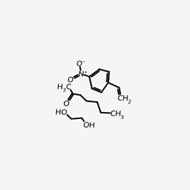 C=Cc1ccc([N+](=O)[O-])cc1.CCCCCC(C)=O.OCCO